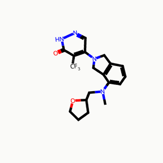 CN(CC1CCCO1)c1cccc2c1CN(c1cn[nH]c(=O)c1C(F)(F)F)C2